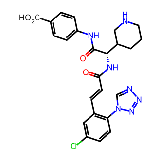 O=C(/C=C/c1cc(Cl)ccc1-n1cnnn1)N[C@H](C(=O)Nc1ccc(C(=O)O)cc1)C1CCCNC1